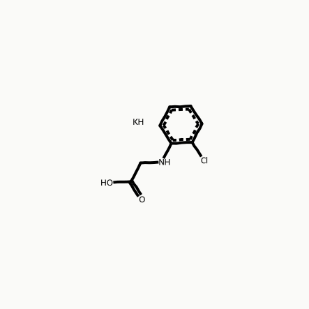 O=C(O)CNc1ccccc1Cl.[KH]